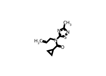 C=CCN(C(=O)C1CC1)c1nc(C)ns1